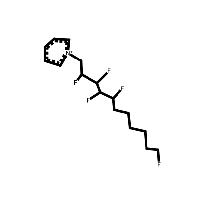 FCCCCCCC(F)C(F)C(F)C(F)C[n+]1ccccc1